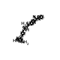 CN(CCOC(=O)NCc1ccc(COc2nc(N)nc3[nH]cnc23)cc1)c1ccc2nc(/C=C(\C#N)c3nc4ccccc4o3)ccc2c1